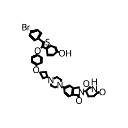 O=C1CCC(N2Cc3cc(N4CCN(C5CC(Oc6ccc(Oc7c(-c8ccc(Br)cc8)sc8cc(O)ccc78)cc6)C5)CC4)ccc3C2=O)C(=O)N1